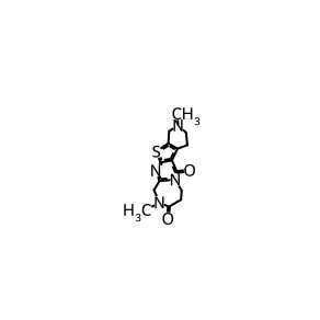 CN1CCc2c(sc3nc4n(c(=O)c23)CCC(=O)N(C)C4)C1